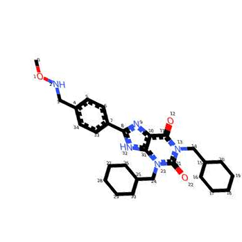 CONCc1ccc(-c2nc3c(=O)n(CC4CCCCC4)c(=O)n(CC4CCCCC4)c3[nH]2)cc1